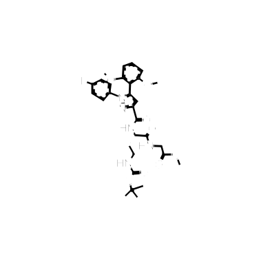 COC(=O)CNC(=O)[C@H](CCNC(=O)OC(C)(C)C)NC(=O)c1cc(-c2c(OC)cccc2OC)n(-c2ccc(F)cc2)n1